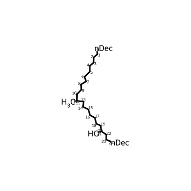 CCCCCCCCCCCCCCCCCCCCC(C)CCCCCCCC(O)CCCCCCCCCCCC